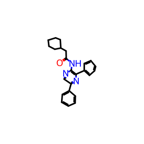 O=C(CC1CCCCC1)Nc1ncc(-c2ccccc2)nc1-c1ccccc1